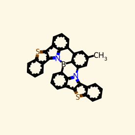 Cc1cc2c3c(c1)-n1c4c(cccc4c4sc5ccccc5c41)B3n1c3c-2cccc3c2sc3ccccc3c21